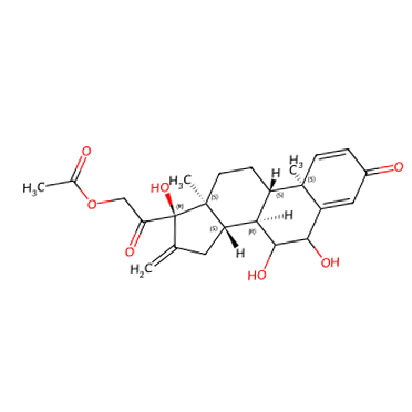 C=C1C[C@H]2[C@@H]3C(O)C(O)C4=CC(=O)C=C[C@]4(C)[C@H]3CC[C@]2(C)[C@@]1(O)C(=O)COC(C)=O